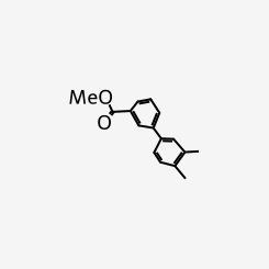 COC(=O)c1cccc(-c2ccc(C)c(C)c2)c1